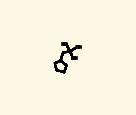 OC(O)(O)CC1CCCC1